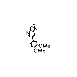 COc1ccc(-c2cnc3csnc3c2)cc1OC